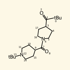 CC(C)(C)C(=O)C1CCN(C(=O)C2CCN(C(C)(C)C)CC2)CC1